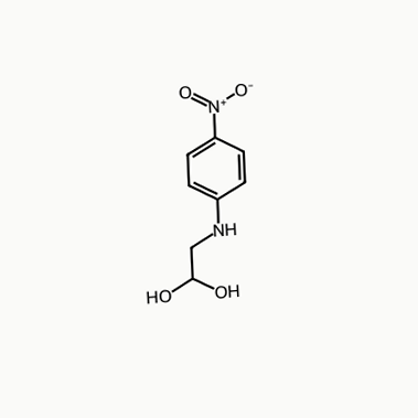 O=[N+]([O-])c1ccc(NCC(O)O)cc1